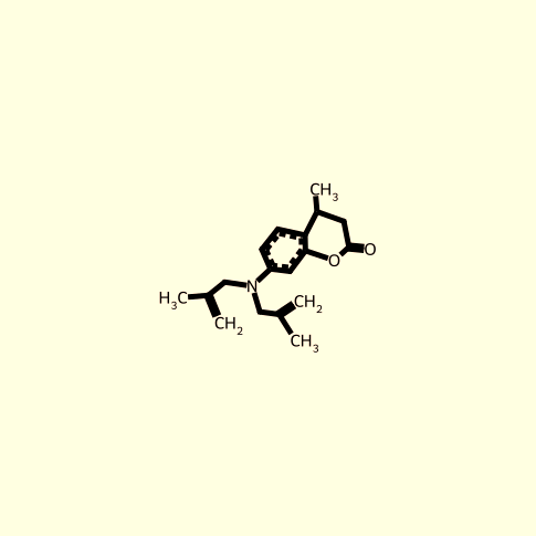 C=C(C)CN(CC(=C)C)c1ccc2c(c1)OC(=O)CC2C